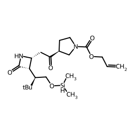 C=CCOC(=O)N1CC[C@H](C(=O)C[C@H]2NC(=O)[C@H]2[C@@H](CO[SiH](C)C)C(C)(C)C)C1